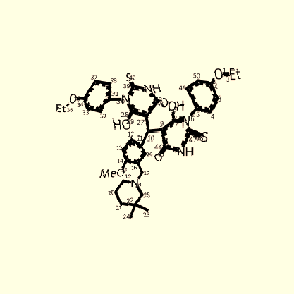 CCOc1ccc(-n2c(O)c(C(c3ccc(OC)c(CN4CCCC(C)(C)C4)c3)c3c(O)n(-c4ccc(OCC)cc4)c(=S)[nH]c3=O)c(=O)[nH]c2=S)cc1